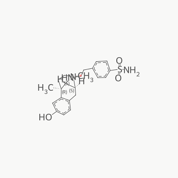 CN1CC[C@]2(C)c3cc(O)ccc3C[C@H]1[C@H]2NCCc1ccc(S(N)(=O)=O)cc1